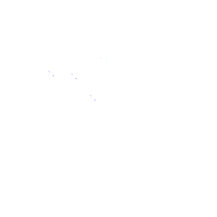 CC(C)=CCCC(C)=CCN(C)C(Cn1ccnc1)c1ccc(Cl)cc1Cl